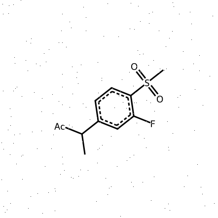 CC(=O)C(C)c1ccc(S(C)(=O)=O)c(F)c1